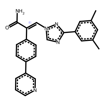 Cc1cc(C)cc(-c2ncn(/C=C(/C(N)=O)c3ccc(-c4cccnc4)cc3)n2)c1